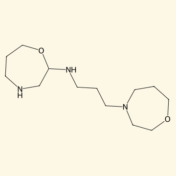 C1CNCC(NCCCN2CCCOCC2)OC1